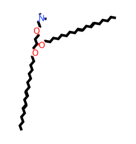 CCCCCC=CCC=CCCCCCCCCOCC(CCOCCN(C)C)OCCCCCCCCC=CCC=CCCCCC